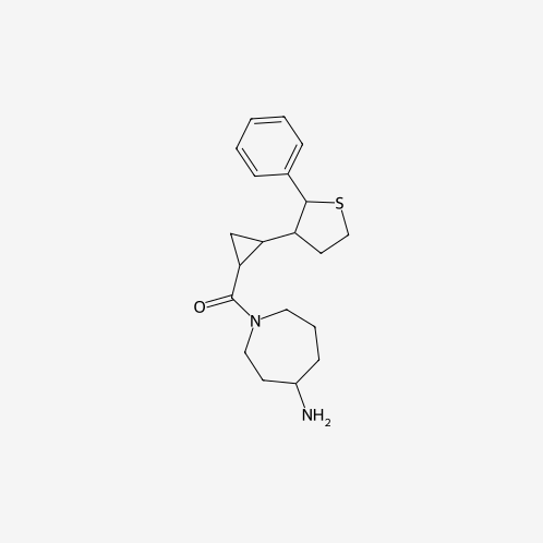 NC1CCCN(C(=O)C2CC2C2CCSC2c2ccccc2)CC1